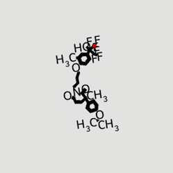 Cc1cc(C(O)(C(F)(F)F)C(F)(F)F)ccc1OCCCCN1C(=O)C=CC(C)(c2ccc(OC(C)C)cc2)C1=O